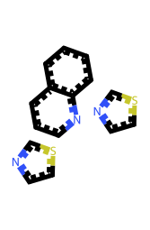 c1ccc2ncccc2c1.c1cscn1.c1cscn1